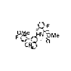 COC(=O)[C@H](Cc1ccc(-c2c(OC)cc(F)cc2C(F)(F)F)c2ncccc12)NC(=O)c1c(F)cccc1F